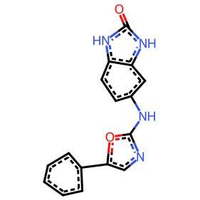 O=c1[nH]c2ccc(Nc3ncc(-c4ccccc4)o3)cc2[nH]1